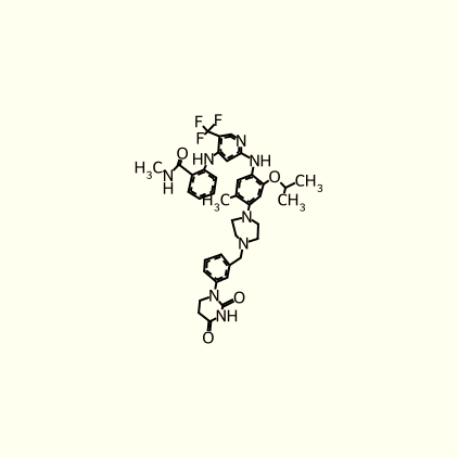 CNC(=O)c1ccccc1Nc1cc(Nc2cc(C)c(N3CCN(Cc4cccc(N5CCC(=O)NC5=O)c4)CC3)cc2OC(C)C)ncc1C(F)(F)F